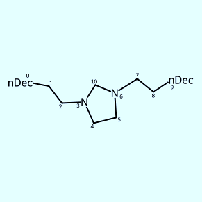 CCCCCCCCCCCCN1CCN(CCCCCCCCCCCC)C1